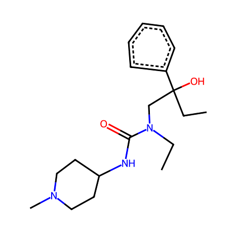 CCN(CC(O)(CC)c1ccccc1)C(=O)NC1CCN(C)CC1